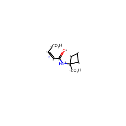 O=C(O)/C=C\C(=O)NC1(C(=O)O)CCC1